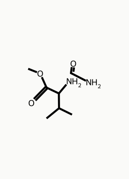 COC(=O)C(N)C(C)C.NC=O